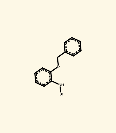 BrNc1ccccc1OCc1ccccc1